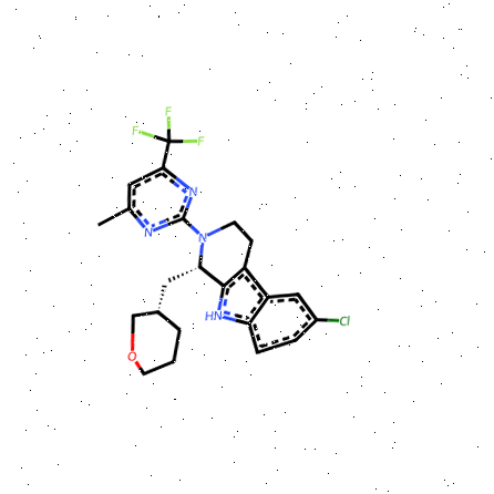 Cc1cc(C(F)(F)F)nc(N2CCc3c([nH]c4ccc(Cl)cc34)[C@@H]2C[C@@H]2CCCOC2)n1